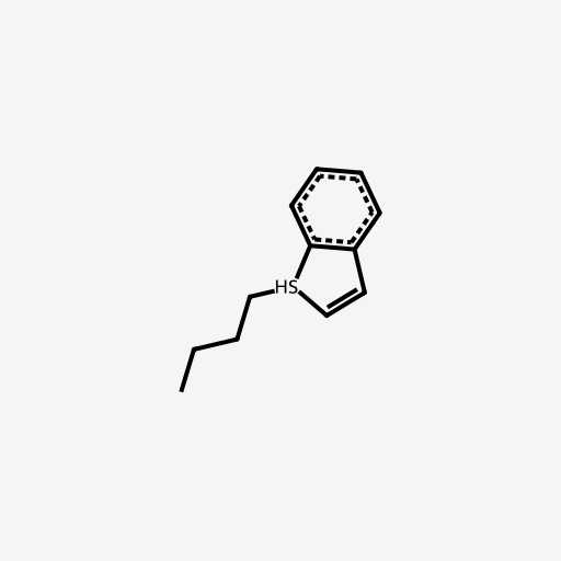 CCCC[SH]1C=Cc2ccccc21